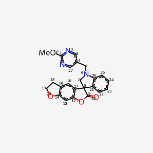 COc1ncc(CN2CC3(C(=O)Oc4cc5c(cc43)CCO5)c3ccccc32)cn1